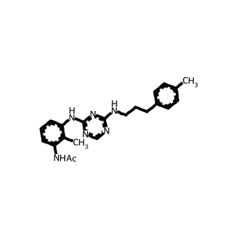 CC(=O)Nc1cccc(Nc2ncnc(NCCCc3ccc(C)cc3)n2)c1C